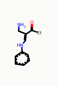 CCC(=O)/C(=C/Nc1ccccc1)CN